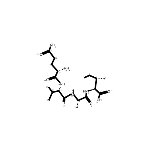 CC[C@H](C)[C@H](NC(=O)[C@H](C)NC(=O)[C@@H](NC(=O)[C@@H](N)CCC(N)=O)C(C)C)C(=O)O